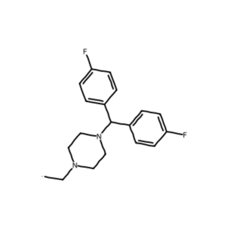 [CH2]CN1CCN(C(c2ccc(F)cc2)c2ccc(F)cc2)CC1